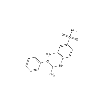 CC(Nc1ccc(S(N)(=O)=O)cc1[N+](=O)[O-])Oc1ccccc1